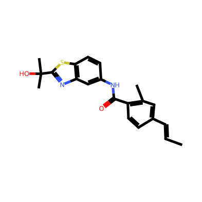 C/C=C/c1ccc(C(=O)Nc2ccc3sc(C(C)(C)O)nc3c2)c(C)c1